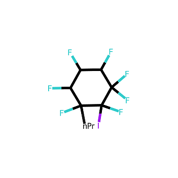 CCCC1(F)C(F)C(F)C(F)C(F)(F)C1(F)I